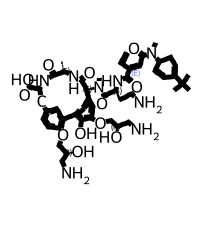 C=C/C(=C\C(=O)N(C)C1C=CC(C(C)(C)C)=CC1)C(=O)N[C@@H](CCN)C(=O)N(C)[C@@H]1C(=O)N[C@@H](C)C(=O)NC(C(=O)O)Cc2ccc(OC[C@H](O)CN)c(c2)-c2cc1cc(OC[C@H](O)CN)c2O